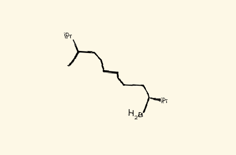 B[C@@H](CCCCCC(C)C(C)C)C(C)C